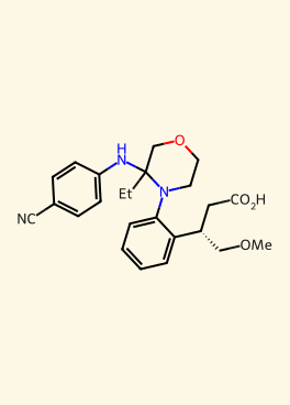 CCC1(Nc2ccc(C#N)cc2)COCCN1c1ccccc1[C@@H](COC)CC(=O)O